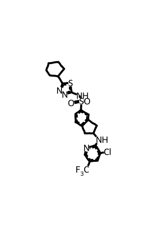 O=S(=O)(Nc1nnc(C2CCCCC2)s1)c1ccc2c(c1)CC(Nc1ncc(C(F)(F)F)cc1Cl)C2